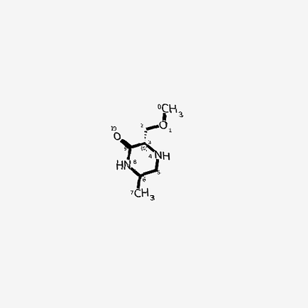 COC[C@@H]1NCC(C)NC1=O